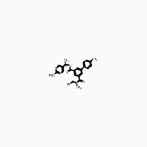 Cc1ccc(-c2cc(C(=O)N[C@H](C)c3cnc(C)nc3)cc(C(=O)N(C)CC(C)C)c2)cc1